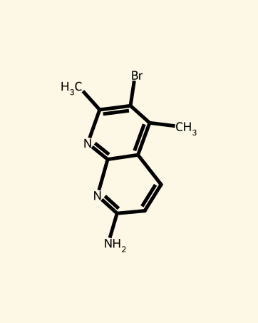 Cc1nc2nc(N)ccc2c(C)c1Br